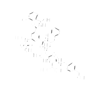 CC(C)[C@H](NC(=O)[C@H](C)NC[C@H](Cc1ccccc1)NC(=O)c1cc(C(=O)N[C@H](C)c2cccc(Cl)c2)cc(N(C)S(C)(=O)=O)c1)C(=O)NCc1ccc(CO)cc1